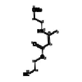 COCCN/C(C)=C\C(=O)OCCC#N